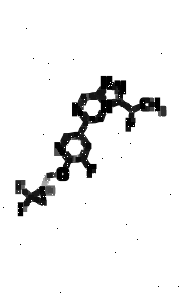 CC(F)c1nnc2cnc(-c3cnc(OC[C@@H]4CC4(F)F)c(F)c3)cn12